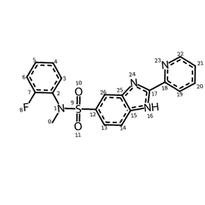 CN(c1ccccc1F)S(=O)(=O)c1ccc2[nH]c(-c3ccccn3)nc2c1